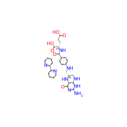 Nc1nc(=O)c2c([nH]1)NC[C@@H](CNc1ccc(C(=O)N[C@@H](CCC(=O)O)C(=O)O)cc1)N2.c1ccc(-c2ccccn2)nc1